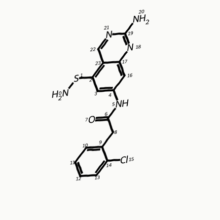 NSc1cc(NC(=O)Cc2ccccc2Cl)cc2nc(N)ncc12